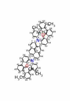 Cc1ccc(N(c2ccc3ccc4c(N(c5ccc(C)cc5)c5cccc6c5oc5c(-c7c(C)cccc7C)cccc56)ccc5ccc2c3c54)c2cccc3c2oc2c(-c4c(C)cccc4C)cccc23)cc1